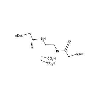 CC(=O)O.CC(=O)O.CCCCCCCCCCCC(=O)NCCNC(=O)CCCCCCCCCCC